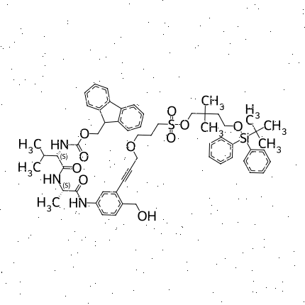 CC(C)[C@H](NC(=O)OCC1c2ccccc2-c2ccccc21)C(=O)N[C@@H](C)C(=O)Nc1ccc(CO)c(C#CCOCCCS(=O)(=O)OCC(C)(C)CCO[Si](c2ccccc2)(c2ccccc2)C(C)(C)C)c1